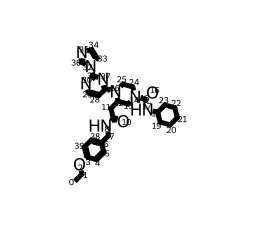 CCOc1ccc(CNC(=O)CC2CN(C(=O)NC3CCCCC3)CCN2c2ccnc(-n3ccnc3)n2)cc1